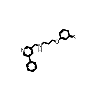 S=C1C=C(OCCCNCc2cncc(-c3ccccc3)c2)C=CC1